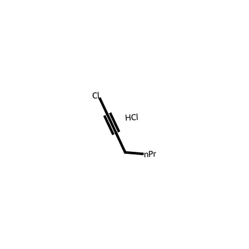 CCCCC#CCl.Cl